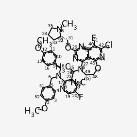 COc1ccc(CN(Cc2ccc(OC)cc2)c2ncc(F)cc2[C@@H](C)N2c3nc(OC[C@@H]4CCCN4C)nc4c(F)c(Cl)nc(c34)OC[C@@H]2C)cc1